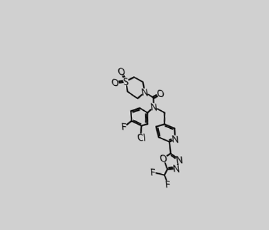 O=C(N1CCS(=O)(=O)CC1)N(Cc1ccc(-c2nnc(C(F)F)o2)nc1)c1ccc(F)c(Cl)c1